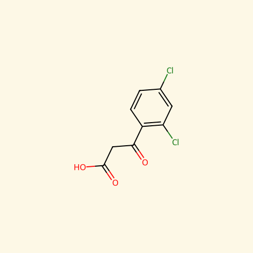 O=C(O)CC(=O)c1ccc(Cl)cc1Cl